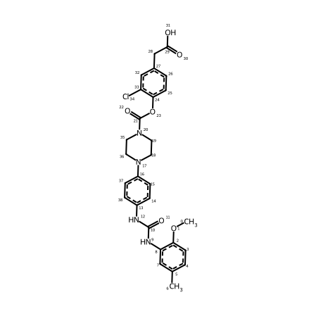 COc1ccc(C)cc1NC(=O)Nc1ccc(N2CCN(C(=O)Oc3ccc(CC(=O)O)cc3Cl)CC2)cc1